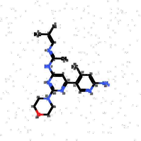 CC/C(C)=C/N=C(\C)Nc1cc(-c2cnc(N)cc2C(F)(F)F)nc(N2CCOCC2)n1